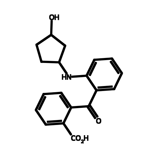 O=C(O)c1ccccc1C(=O)c1ccccc1NC1CCC(O)C1